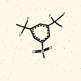 CC(F)(F)c1cc(C(F)(F)F)cc(S(C)(=O)=O)c1